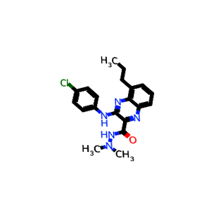 CCCc1cccc2nc(C(=O)NN(C)C)c(Nc3ccc(Cl)cc3)nc12